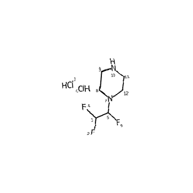 Cl.Cl.FC(F)C(F)N1CCNCC1